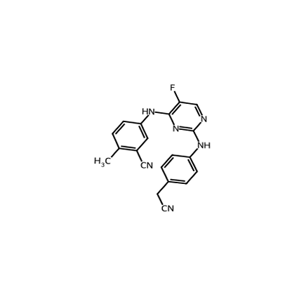 Cc1ccc(Nc2nc(Nc3ccc(CC#N)cc3)ncc2F)cc1C#N